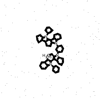 C=Cc1c(-c2c(C)c3ccccc3n2-c2ccccc2)c2ccccc2n1-c1cccc(-n2c3ccccc3c3c2ccc2c4ccccc4n(-c4ccccc4)c23)c1